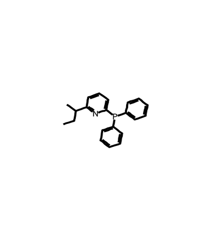 CCC(C)c1cccc(P(c2ccccc2)c2ccccc2)n1